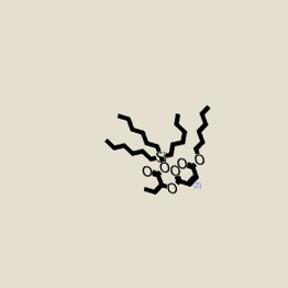 CCCCCCOC(=O)/C=C\C(=O)OC(CC)C(=O)O[Si](CCCCCC)(CCCCCC)CCCCCC